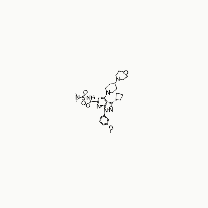 COc1cccc(-n2nc(C3CCC3)c3c(N4CCC(N5CCOCC5)CC4)cc(C(=O)NS(=O)(=O)N(C)C)nc32)c1